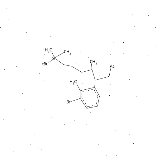 CC(=O)CC(c1cccc(Br)c1C)C(C)CCC[Si](C)(C)C(C)(C)C